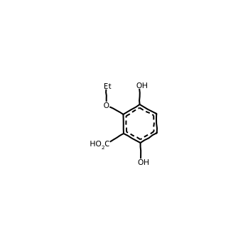 CCOc1c(O)ccc(O)c1C(=O)O